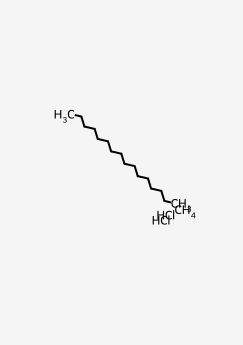 C.CCCCCCCCCCCCCCCC.Cl.Cl